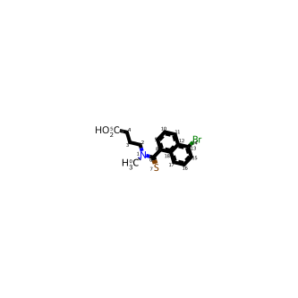 CN(CCCC(=O)O)C(=S)c1cccc2c(Br)cccc12